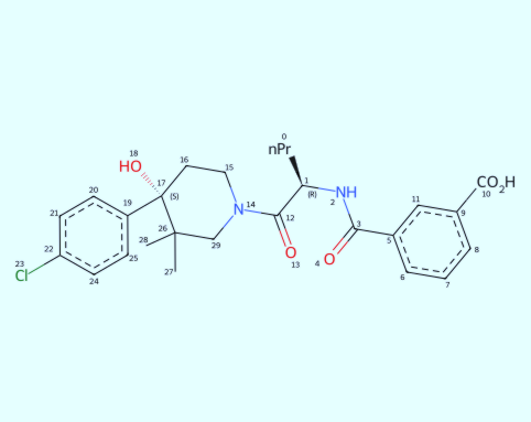 CCC[C@@H](NC(=O)c1cccc(C(=O)O)c1)C(=O)N1CC[C@](O)(c2ccc(Cl)cc2)C(C)(C)C1